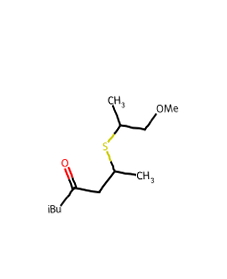 CCC(C)C(=O)CC(C)SC(C)COC